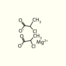 CC(Cl)C(=O)[O-].CC(Cl)C(=O)[O-].[Mg+2]